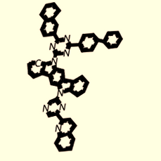 c1ccc(-c2ccc(-c3nc(-c4ccc5ccccc5c4)nc(-n4c5ccccc5c5cc6c(cc54)c4ccccc4n6-c4cncc(-c5ccc6ccccc6n5)n4)n3)cc2)cc1